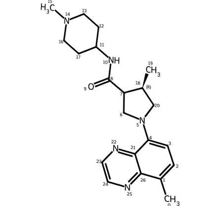 Cc1ccc(N2CC(C(=O)NC3CCN(C)CC3)[C@@H](C)C2)c2nccnc12